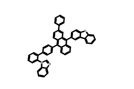 c1ccc(-c2ccc3c(-c4ccc(-c5ccccc5-n5cnc6ccccc65)cc4)c4ccccc4c(-c4ccc5sc6ccccc6c5c4)c3c2)cc1